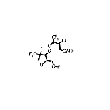 CCOC=C(Cl)C(=O)C(F)(F)C(F)(F)F.COC=C(Cl)C(=O)C(F)(F)F